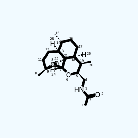 CC(=O)NC[C@H]1O[C@@H]2O[C@@]3(C)CC[C@H]4[C@H](C)CC[C@@H]([C@H]1C)[C@@]24OO3